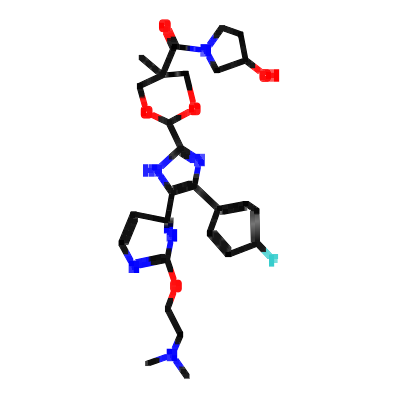 CN(C)CCOc1nccc(-c2[nH]c(C3OCC(C)(C(=O)N4CCC(O)C4)CO3)nc2-c2ccc(F)cc2)n1